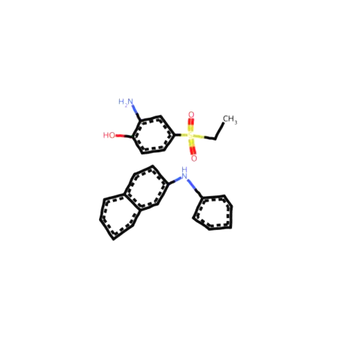 CCS(=O)(=O)c1ccc(O)c(N)c1.c1ccc(Nc2ccc3ccccc3c2)cc1